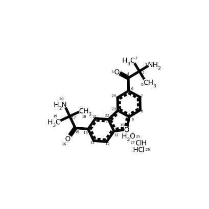 CC(C)(N)C(=O)c1ccc2oc3ccc(C(=O)C(C)(C)N)cc3c2c1.Cl.Cl.O